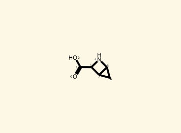 O=C(O)C1NC2CC21